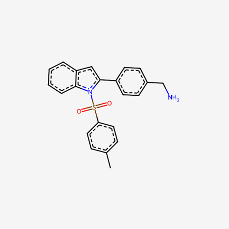 Cc1ccc(S(=O)(=O)n2c(-c3ccc(CN)cc3)cc3ccccc32)cc1